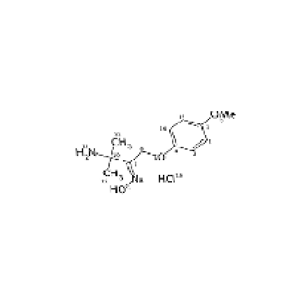 COc1ccc(OCC(=NO)C(C)(C)N)cc1.Cl